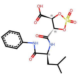 CC(C)C[C@H](NC(=O)[C@H]1OS(=O)(=O)O[C@@H]1C(=O)O)C(=O)Nc1ccccc1